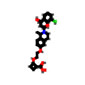 CC1c2ccc(OCCOC3CCC3C(=O)O)cc2CCN1c1cc(=O)c2cccc(Cl)c2o1